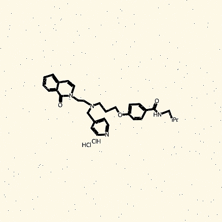 CC(C)CNC(=O)c1ccc(OCCCN(CCn2ccc3ccccc3c2=O)Cc2ccncc2)cc1.Cl.Cl